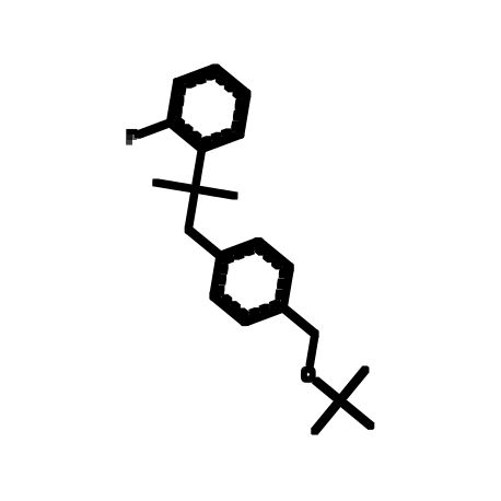 CC(C)(C)OCc1ccc(CC(C)(C)c2ccccc2F)cc1